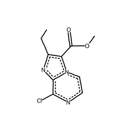 CCc1nc2c(Cl)nccn2c1C(=O)OC